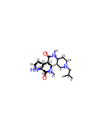 CC(C)CN1CCC(N(C)C(=O)c2cn(C)c(=O)c3[nH]ccc23)CC1